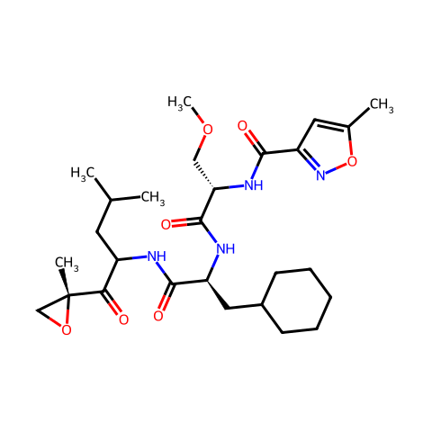 COC[C@H](NC(=O)c1cc(C)on1)C(=O)N[C@@H](CC1CCCCC1)C(=O)NC(CC(C)C)C(=O)[C@@]1(C)CO1